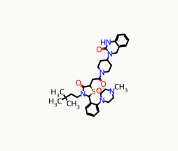 CN1CCN(c2ccccc2C2N(CCC(C)(C)C)C(=O)C(CC(=O)N3CCC(N4Cc5ccccc5NC4=O)CC3)[S+]2[O-])CC1